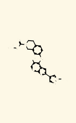 Cn1cc(-c2cc3c(Nc4ccc5c(c4)CN(C(=O)OC(C)(C)C)CC5)c(F)cnc3[nH]2)cn1